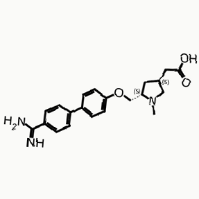 CN1C[C@H](CC(=O)O)C[C@H]1COc1ccc(-c2ccc(C(=N)N)cc2)cc1